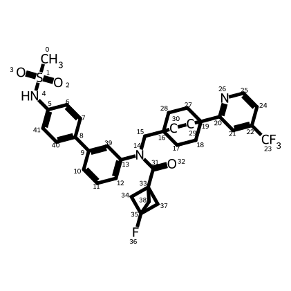 CS(=O)(=O)Nc1ccc(-c2cccc(N(CC34CCC(c5cc(C(F)(F)F)ccn5)(CC3)CC4)C(=O)C34CC(F)(C3)C4)c2)cc1